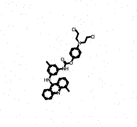 Cc1cc(NC(=O)Oc2ccc(N(CCCl)CCCl)cc2)cc(Nc2c3ccccc3nc3c(C)cccc23)c1